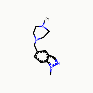 CC(C)N1CCN(Cc2ccc3c(cnn3C)c2)CC1